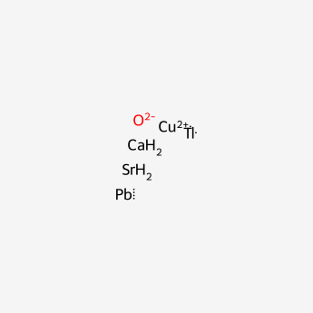 [CaH2].[Cu+2].[O-2].[Pb].[SrH2].[Tl]